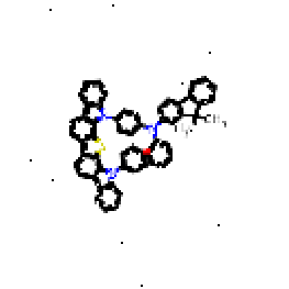 CC1(C)c2ccccc2-c2ccc(N(c3ccccc3)c3ccc(-n4c5ccccc5c5ccc6c7ccc8c9ccccc9n(-c9ccccc9)c8c7sc6c54)cc3)cc21